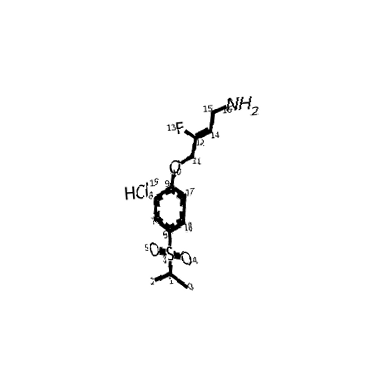 CC(C)S(=O)(=O)c1ccc(OC/C(F)=C/CN)cc1.Cl